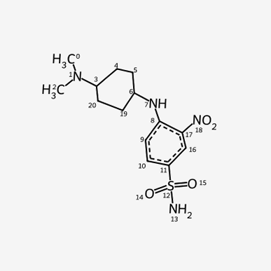 CN(C)C1CCC(Nc2ccc(S(N)(=O)=O)cc2[N+](=O)[O-])CC1